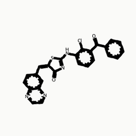 O=C1N=C(Nc2cccc(C(=O)c3ccccc3)c2Cl)SC1=Cc1ccc2nccnc2c1